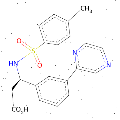 Cc1ccc(S(=O)(=O)N[C@H](CC(=O)O)c2cccc(-c3cnccn3)c2)cc1